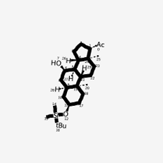 CC(=O)[C@H]1CC[C@H]2[C@@H]3[C@H](O)C[C@@H]4C[C@H](O[Si](C)(C)C(C)(C)C)CC[C@]4(C)[C@H]3CC[C@]12C